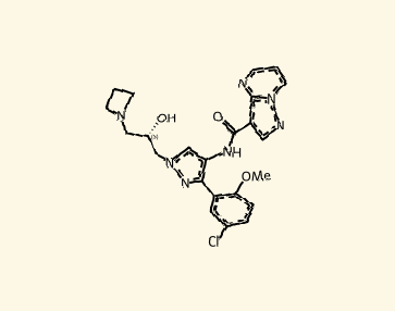 COc1ccc(Cl)cc1-c1nn(C[C@@H](O)CN2CCC2)cc1NC(=O)c1cnn2cccnc12